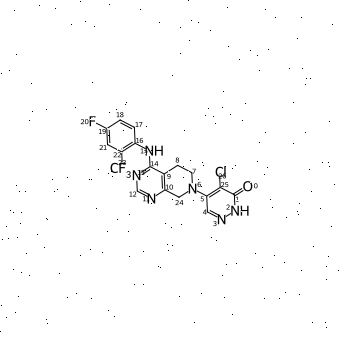 O=c1[nH]ncc(N2CCc3c(ncnc3Nc3ccc(F)cc3C(F)(F)F)C2)c1Cl